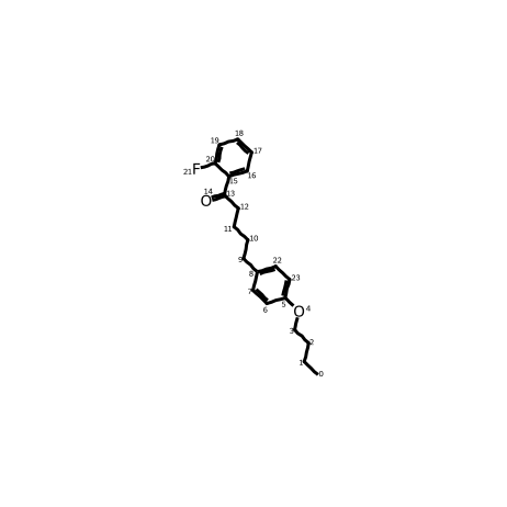 CCCCOc1ccc(CCCCC(=O)c2ccccc2F)cc1